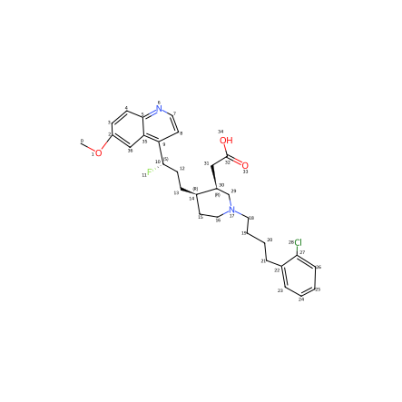 COc1ccc2nccc([C@@H](F)CC[C@@H]3CCN(CCCCc4ccccc4Cl)C[C@@H]3CC(=O)O)c2c1